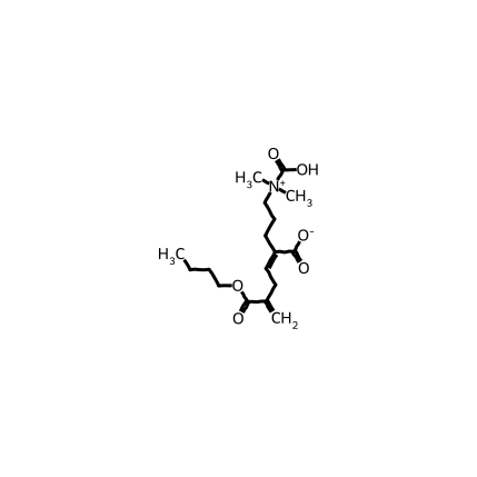 C=C(CC=C(CCC[N+](C)(C)C(=O)O)C(=O)[O-])C(=O)OCCCC